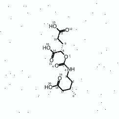 C[C@@H](CCNC(=O)O[C@@H](CCC(=O)O)C(=O)O)CC(=O)O